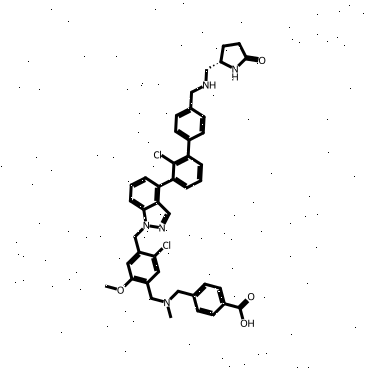 COc1cc(Cn2ncc3c(-c4cccc(-c5ccc(CNC[C@@H]6CCC(=O)N6)cc5)c4Cl)cccc32)c(Cl)cc1CN(C)Cc1ccc(C(=O)O)cc1